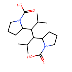 CC(C)C(C(C(C)C)C1CCCN1C(=O)O)C1CCCN1C(=O)O